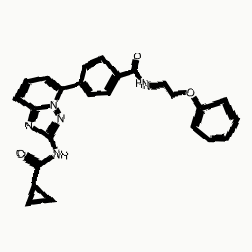 O=C(NCCOc1ccccc1)c1ccc(-c2cccc3nc(NC(=O)C4CC4)nn23)cc1